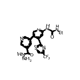 CCNC(=O)Nc1cc(-c2nc(C(F)(F)F)cs2)c(-c2cncc(C(=O)NN)c2)cn1